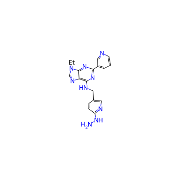 CCn1cnc2c(NCc3ccc(NN)nc3)nc(-c3cccnc3)nc21